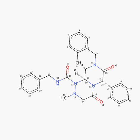 Cc1ccccc1CN1C[C@H]2N(C(=O)CN(C)N2C(=O)NCc2ccccc2)[C@@H](c2ccccc2)C1=O